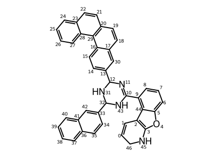 C1=Cc2c(oc3cccc(C4=NC(c5ccc6c(ccc7ccc8ccccc8c76)c5)NC(c5ccc6ccccc6c5)N4)c23)NC1